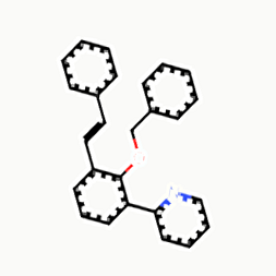 C(=Cc1cccc(-c2ccccn2)c1OCc1ccccc1)c1ccccc1